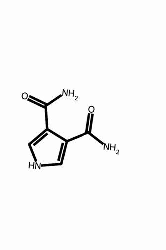 NC(=O)c1c[nH]cc1C(N)=O